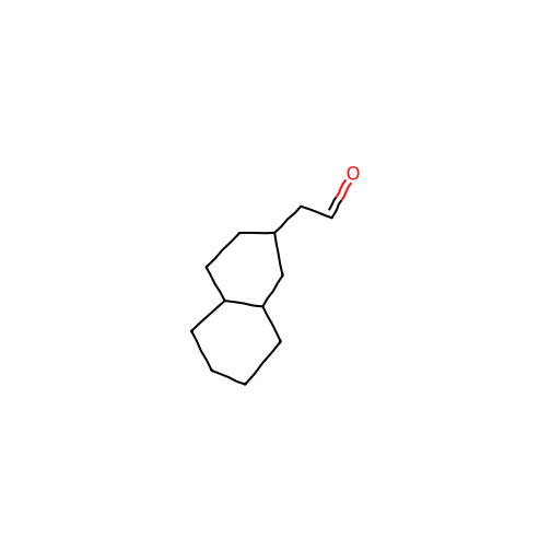 O=CCC1CCC2CCCCC2C1